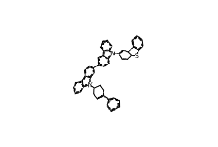 C1=CC2Sc3ccccc3C2C=C1n1c2ccccc2c2cc(-c3ccc4c5ccccc5n(C5CC=C(c6ccccc6)CC5)c4c3)ccc21